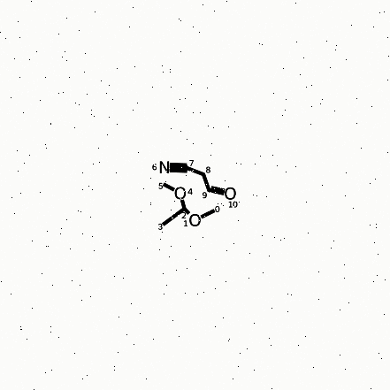 COC(C)OC.N#CCC=O